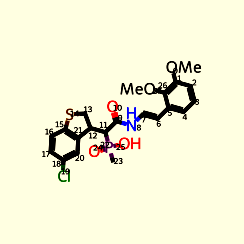 COc1cccc(/C=C/NC(=O)C(C2CSc3ccc(Cl)cc32)P(C)(=O)O)c1OC